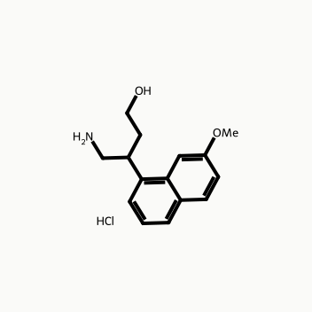 COc1ccc2cccc(C(CN)CCO)c2c1.Cl